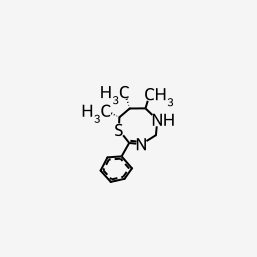 CC1NC/N=C(/c2ccccc2)S[C@H](C)[C@@H]1C